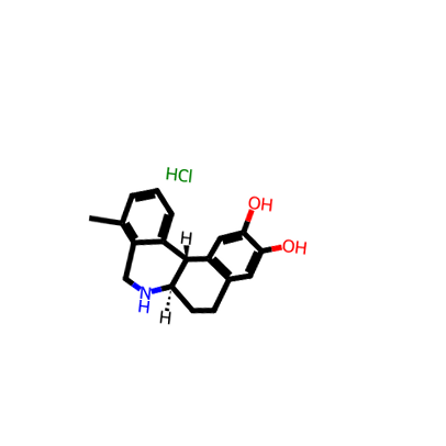 Cc1cccc2c1CN[C@@H]1CCc3cc(O)c(O)cc3[C@@H]21.Cl